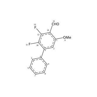 COc1cc(-c2ccccc2)c(F)c(F)c1C=O